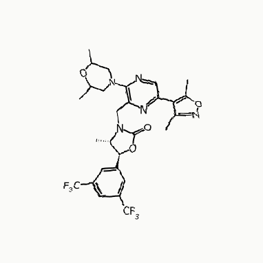 Cc1noc(C)c1-c1cnc(N2CC(C)OC(C)C2)c(CN2C(=O)O[C@@H](c3cc(C(F)(F)F)cc(C(F)(F)F)c3)[C@@H]2C)n1